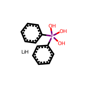 OP(O)(O)(c1ccccc1)c1ccccc1.[LiH]